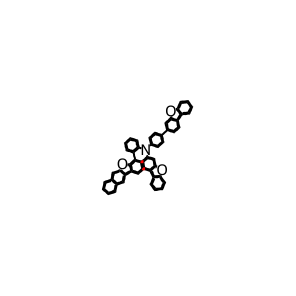 c1ccc(N(c2ccc(-c3ccc4c(c3)oc3ccccc34)cc2)c2ccc3c(c2)oc2ccccc23)c(-c2cccc3c2oc2cc4ccccc4cc23)c1